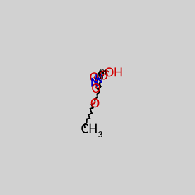 CCCCCCCCCCOCCCCc1cc2cn([C@@H]3CC[C@H](CO)O3)c(=O)nc2o1